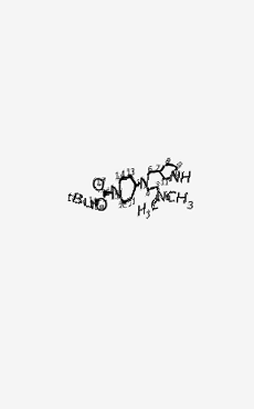 CN(C)CCN(CC1CCNC1)C1CCN(C(=O)OC(C)(C)C)CC1